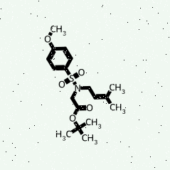 COc1ccc(S(=O)(=O)N(CC=C(C)C)CC(=O)OC(C)(C)C)cc1